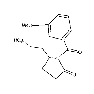 COc1cccc(C(=O)N2C(=O)CCC2CCC(=O)O)c1